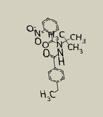 CCc1ccc(C(=O)NN(C(=O)c2ccccc2[N+](=O)[O-])C(C)(C)C)cc1